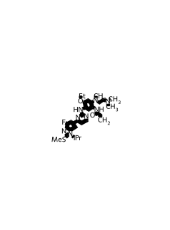 C=CC(=O)Nc1cc(Nc2nccc(-c3cc(F)c4nc(SC)n(C(C)C)c4c3)n2)c(OCC)cc1N(C)CCN(C)C